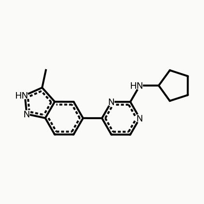 Cc1[nH]nc2ccc(-c3ccnc(NC4CCCC4)n3)cc12